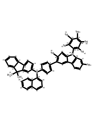 [2H]c1ccc2c3cc(-c4ccc(N(c5ccc6c(c5)C(C)(C)c5ccccc5-6)c5cccc6ccccc56)cc4)c([2H])cc3n(-c3c([2H])c([2H])c([2H])c([2H])c3[2H])c2c1